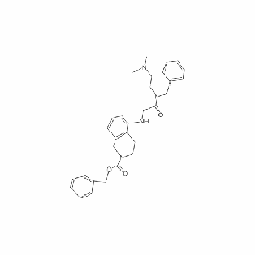 CN(C)CCN(Cc1ccccc1)C(=O)CNc1cccc2c1CCN(C(=O)OCc1ccccc1)C2